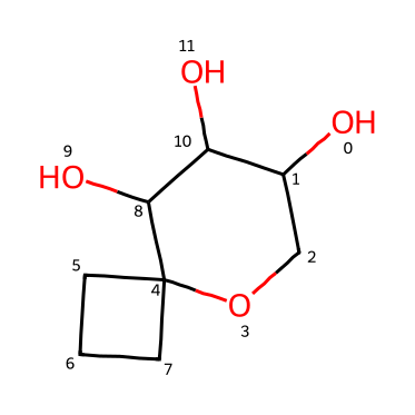 OC1COC2(CCC2)C(O)C1O